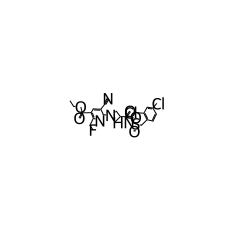 CCOC(=O)c1cc(C#N)c(N2CC(C(=O)NS(=O)(=O)Cc3ccc(Cl)cc3Cl)C2)nc1CF